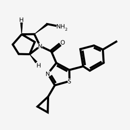 Cc1ccc(-c2sc(C3CC3)nc2C(=O)N2[C@@H]3CC[C@@H](C3)[C@H]2CN)cc1